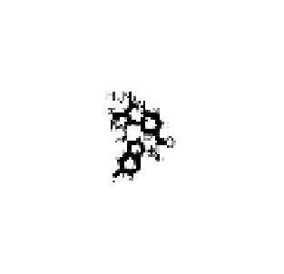 Cc1ccc2c(c1)CC[C@H]2N(C)C(=O)c1ccc2nc(N)c3cnn(C)c3c2c1